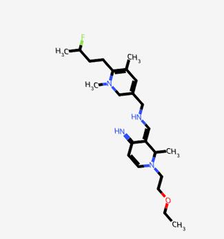 CCOCCN1C=CC(=N)/C(=C\NCC2=CC(C)=C(CCC(C)F)N(C)C2)C1C